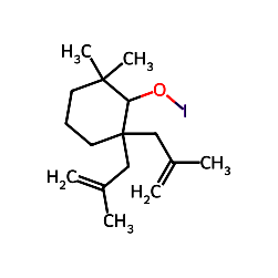 C=C(C)CC1(CC(=C)C)CCCC(C)(C)C1OI